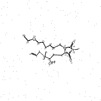 C=CCC(C)(C)C(O)CCn1c(=O)n(C)c(=O)n1CCCCCCOCC